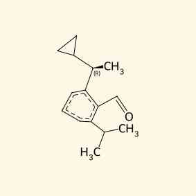 CC(C)c1cccc([C@H](C)C2CC2)c1C=O